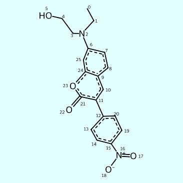 CCN(CCO)c1ccc2cc(-c3ccc([N+](=O)[O-])cc3)c(=O)oc2c1